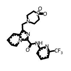 O=C(Nc1cccc(C(F)(F)F)n1)c1nc(CN2CCS(=O)(=O)CC2)c2ccccn12